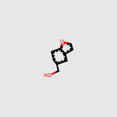 O[CH]c1ccc2occc2c1